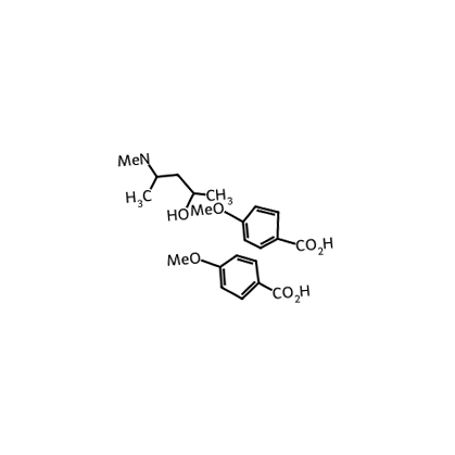 CNC(C)CC(C)O.COc1ccc(C(=O)O)cc1.COc1ccc(C(=O)O)cc1